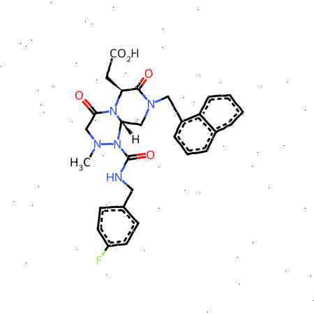 CN1CC(=O)N2[C@@H](CC(=O)O)C(=O)N(Cc3cccc4ccccc34)C[C@@H]2N1C(=O)NCc1ccc(F)cc1